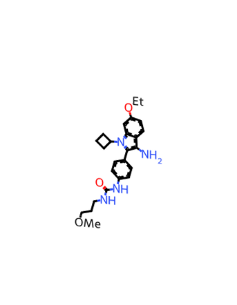 CCOc1ccc2c(N)c(-c3ccc(NC(=O)NCCCOC)cc3)n(C3CCC3)c2c1